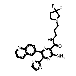 Nc1nc(-c2ncco2)c(-c2ccc3ncccc3c2)nc1C(=O)NCCCN1CCC(F)(F)C1